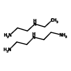 CCNCCN.NCCNCCN